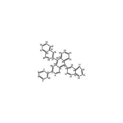 [c]1cccc(-c2ccc3c(-c4ccc5ccccc5c4)c4ccccc4c(-c4ccc5ccccc5c4)c3c2)c1